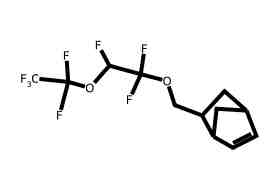 FC(OC(F)(F)C(F)(F)F)C(F)(F)OCC1CC2C=CC1C2